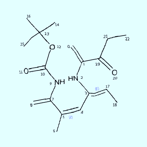 C=C(NC(/C=C(/C)C(=C)NC(=O)OC(C)(C)C)=C/C)C(=O)CC